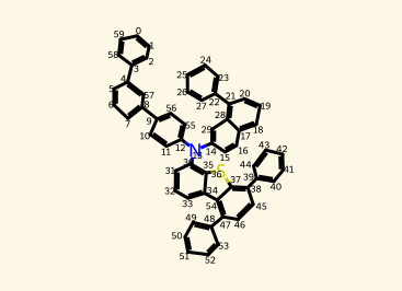 c1ccc(-c2cccc(-c3ccc(N(c4ccc5cccc(-c6ccccc6)c5c4)c4cccc5c4sc4c(-c6ccccc6)ccc(-c6ccccc6)c45)cc3)c2)cc1